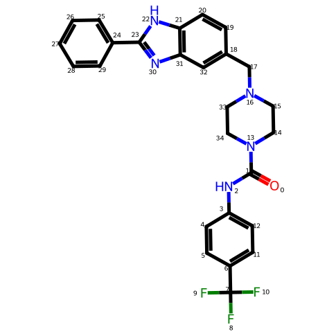 O=C(Nc1ccc(C(F)(F)F)cc1)N1CCN(Cc2ccc3[nH]c(-c4ccccc4)nc3c2)CC1